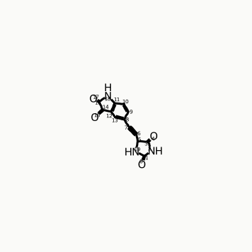 O=C1NC(=O)C(C#Cc2ccc3c(c2)C(=O)C(=O)N3)N1